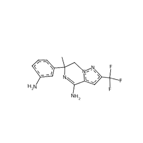 CC1(c2cccc(N)c2)Cn2nc(C(F)(F)F)cc2C(N)=N1